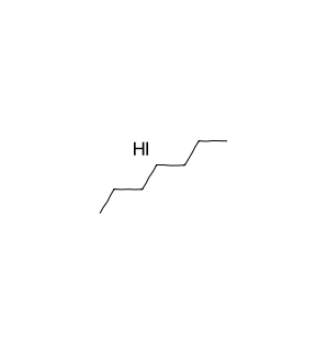 CCCCCCC.I